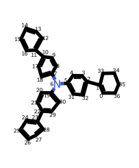 C1=C(c2ccc(N(c3ccc(-c4ccccc4)cc3)c3ccc(-c4ccccc4)cc3)cc2)CCCC1